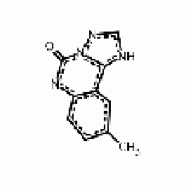 Cc1ccc2nc(=O)n3nc[nH]c3c2c1